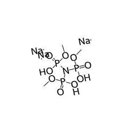 COP(=O)(O)N(P(=O)(O)OC)P(=O)(O)OC.[Na].[Na].[Na]